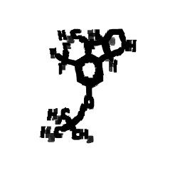 CN1c2c(cc(OCCC(C)(C)C)cc2C(F)(F)F)[C@@H]2CNCC[C@@H]21